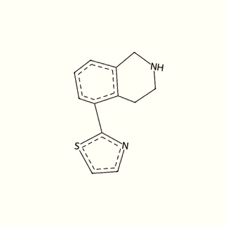 c1cc2c(c(-c3nccs3)c1)CCNC2